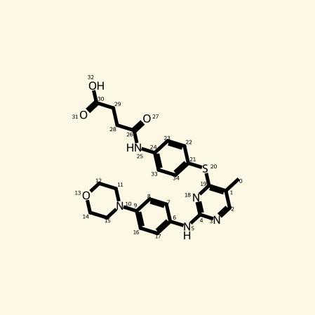 Cc1cnc(Nc2ccc(N3CCOCC3)cc2)nc1Sc1ccc(NC(=O)CCC(=O)O)cc1